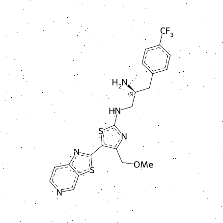 COCc1nc(NC[C@@H](N)Cc2ccc(C(F)(F)F)cc2)sc1-c1nc2ccncc2s1